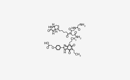 CCCn1c(=O)c2[nH]c(-c3ccc(OCC(=O)O)cc3)nc2n(CCC)c1=O.NCC(=O)NCC(=O)N(CC(N)=O)C(=O)CCCC[C@@H]1SC[C@@H]2NC(=O)N[C@@H]21